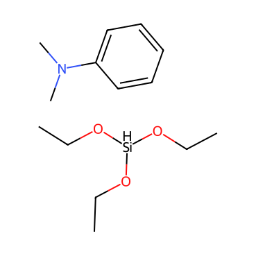 CCO[SiH](OCC)OCC.CN(C)c1ccccc1